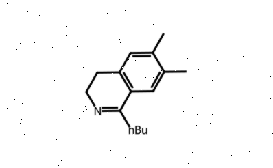 CCCCC1=NCCc2cc(C)c(C)cc21